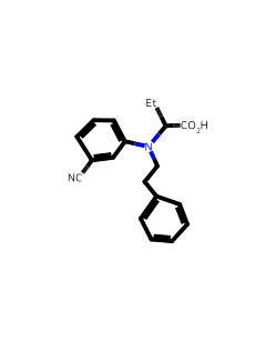 CCC(C(=O)O)N(CCc1ccccc1)c1cccc(C#N)c1